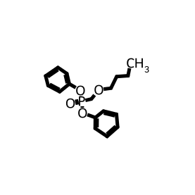 CCCCOCP(=O)(Oc1ccccc1)Oc1ccccc1